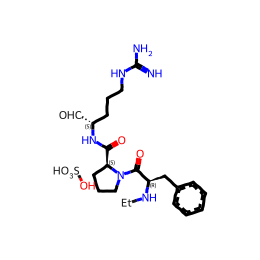 CCN[C@H](Cc1ccccc1)C(=O)N1CCC[C@H]1C(=O)N[C@H](C=O)CCCNC(=N)N.O=S(=O)(O)O